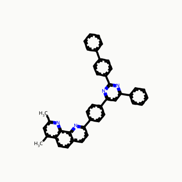 Cc1cc(C)c2ccc3ccc(-c4ccc(-c5cc(-c6ccccc6)nc(-c6ccc(-c7ccccc7)cc6)n5)cc4)nc3c2n1